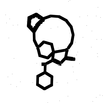 O=C1N=C(NC2CCCCC2)C23CCN(CC2)Cc2cccc(c2)CCCCCCN13